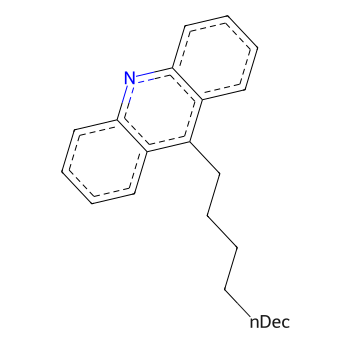 CCCCCCCCCCCCCCc1c2ccccc2nc2ccccc12